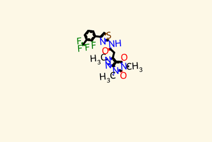 Cn1nc2c(c1CC(=O)Nc1nc(-c3cccc(C(F)(F)F)c3F)cs1)c(=O)n(C)c(=O)n2C